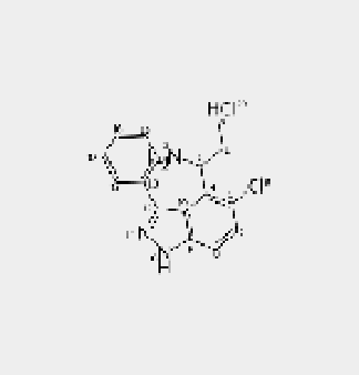 CCC(N)c1c(Cl)ccc2[nH]nc(-c3ccccc3)c12.Cl